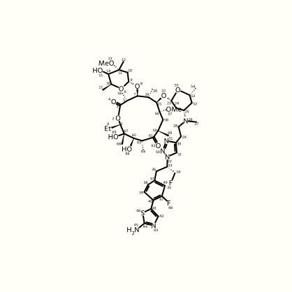 CC[C@H]1OC(=O)[C@H](C)[C@@H](O[C@H]2C[C@@](C)(OC)C(O)[C@H](C)O2)[C@H](C)[C@@H](O[C@H]2C[C@@H](N(C)CCc3cn([C@H](CF)Cc4ccc(-c5cnc(N)s5)c(F)c4)nn3)C[C@@H](C)O2)[C@H](OC)C[C@@H](C)C(=O)[C@H](C)[C@@H](O)[C@]1(C)O